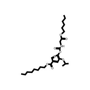 CCCCCCCCOC(=O)c1cnc(OC(=O)NCC(=O)OCCCCCC)c(OC(C)C)c1